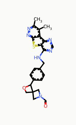 Cc1nnc2sc3c(NCc4ccc(C5OCC56CN(C=O)C6)cc4)ncnc3c2c1C